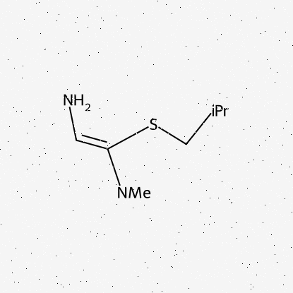 CN/C(=C/N)SCC(C)C